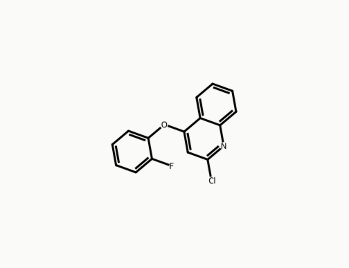 Fc1ccccc1Oc1cc(Cl)nc2ccccc12